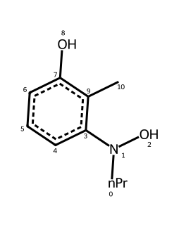 CCCN(O)c1cccc(O)c1C